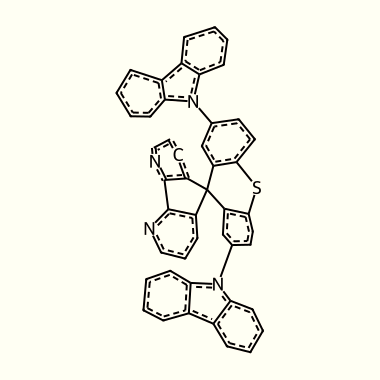 c1cnc2c(c1)C1(c3cc(-n4c5ccccc5c5ccccc54)ccc3Sc3ccc(-n4c5ccccc5c5ccccc54)cc31)c1cccnc1-2